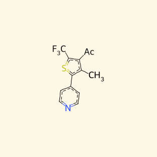 CC(=O)c1c(C(F)(F)F)sc(-c2ccncc2)c1C